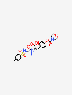 Cc1ccc(S(=O)(=O)N(C)CC(=O)N[C@@H](Cc2ccc(OC(=O)N3CCOCC3)cc2)C(=O)O)cc1